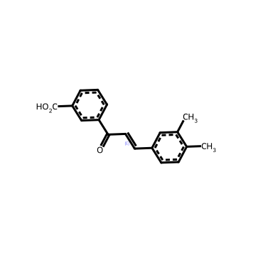 Cc1ccc(/C=C/C(=O)c2cccc(C(=O)O)c2)cc1C